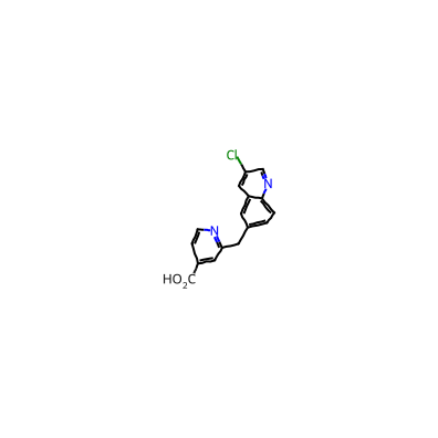 O=C(O)c1ccnc(Cc2ccc3ncc(Cl)cc3c2)c1